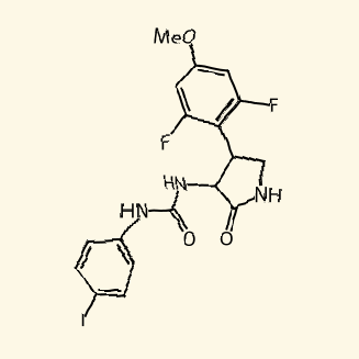 COc1cc(F)c(C2CNC(=O)C2NC(=O)Nc2ccc(I)cc2)c(F)c1